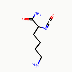 NCCCCC(N=C=O)C(N)=O